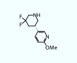 COc1ccc([C@H]2CNCC(F)(F)C2)cn1